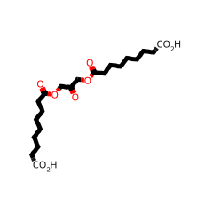 O=C(O)CCCCCCCC(=O)OCC(=O)COC(=O)CCCCCCCC(=O)O